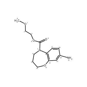 COCCOC(=O)N1CCCOc2cc(N)ccc21